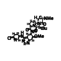 CN[C@@H](C)C(=O)N[C@H](C(=O)N1CCC[C@H]1C(=O)Nc1cc2c(Nc3ccc(Cl)nc3)ncnc2cc1OC)C(C)(C)C